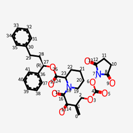 C=C(COC(=O)ON1C(=O)CCC1=O)C(=O)C(=O)N1CCCCC1C(=O)O[C@H](CCc1ccccc1)c1ccccc1